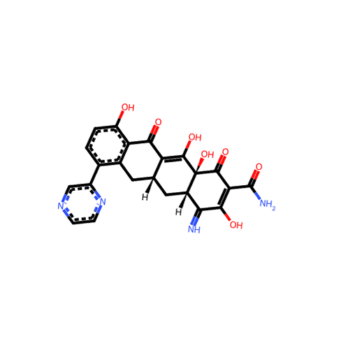 N=C1C(O)=C(C(N)=O)C(=O)[C@@]2(O)C(O)=C3C(=O)c4c(O)ccc(-c5cnccn5)c4C[C@H]3C[C@@H]12